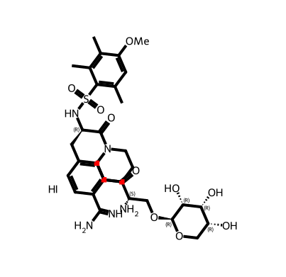 COc1cc(C)c(S(=O)(=O)N[C@H](Cc2ccc(C(=N)N)c(C(=O)[C@@H](N)CO[C@@H]3OC[C@@H](O)[C@@H](O)[C@H]3O)c2)C(=O)N2CCCCC2)c(C)c1C.I